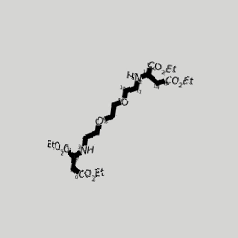 CCOC(=O)CC(NCCOCCOCCNC(CC(=O)OCC)C(=O)OCC)C(=O)OCC